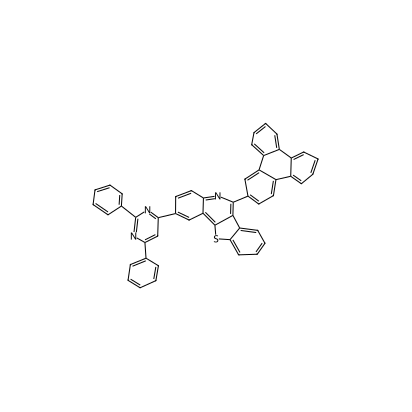 c1ccc(-c2cc(-c3ccc4nc(-c5ccc6c7ccccc7c7ccccc7c6c5)c5c6ccccc6sc5c4c3)nc(-c3ccccc3)n2)cc1